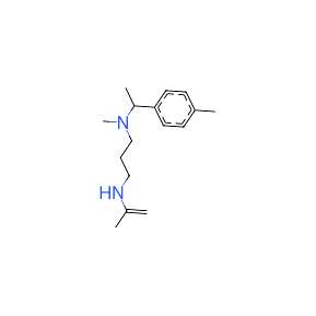 C=C(C)NCCCN(C)C(C)c1ccc(C)cc1